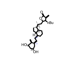 C=C1C(=O)OC(C[C@@H](C)[C@H]2CC[C@H]3/C(=C/C=C4/C[C@@H](O)C[C@H](O)C4=C)CCC[C@]23C)C1CCCC